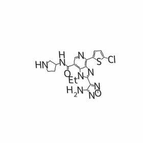 CCn1c(-c2nonc2N)nc2c(-c3ccc(Cl)s3)ncc(C(=O)NC3CCNC3)c21